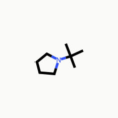 CC(C)(C)N1C[CH]CC1